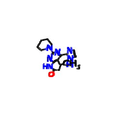 CC1CC(=O)Nc2nc(N3CCCCC3)nc(-c3ncc[nH]3)c21